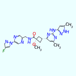 CO[C@]1(C(=O)NCc2cnc(-n3cc(F)cn3)cn2)C[C@H](c2cc(C)nc(Nc3cc(C)[nH]n3)n2)C1